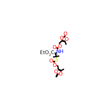 C=C1OC(C)=C(COC(=O)SC(C)(C)[C@@H](NC(=O)OCc2oc(=O)oc2C)C(=O)OCC)O1